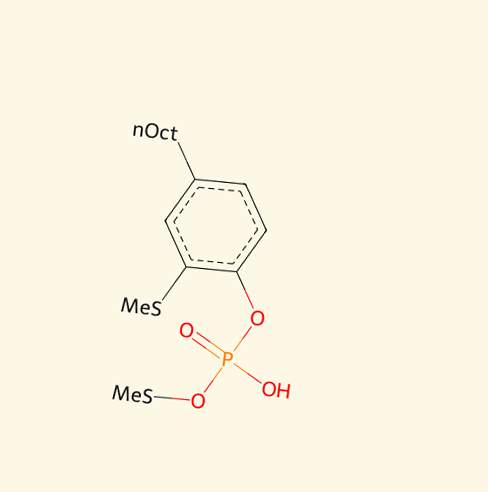 CCCCCCCCc1ccc(OP(=O)(O)OSC)c(SC)c1